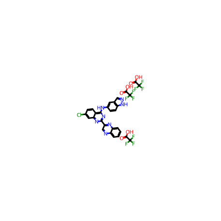 Clc1ccc2c(Nc3ccc4[nH]ncc4c3)nc(-c3cnc4ccccc4n3)nc2c1.O=C(O)C(F)(F)F.O=C(O)C(F)(F)F.O=C(O)C(F)(F)F